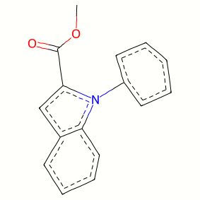 COC(=O)c1cc2ccccc2n1-c1ccccc1